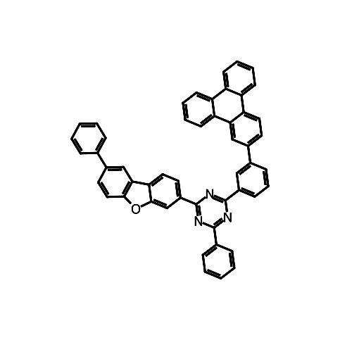 c1ccc(-c2ccc3oc4cc(-c5nc(-c6ccccc6)nc(-c6cccc(-c7ccc8c9ccccc9c9ccccc9c8c7)c6)n5)ccc4c3c2)cc1